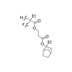 CCC1(OC(=O)CCOC(=O)C(C)(CC)C(F)(F)F)CC2CCC1C2